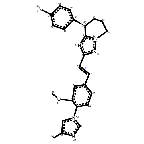 COc1cc(/C=C/c2nc3n(n2)CCC[C@@H]3c2ccc(N)cc2)ccc1-n1cnc(C)c1